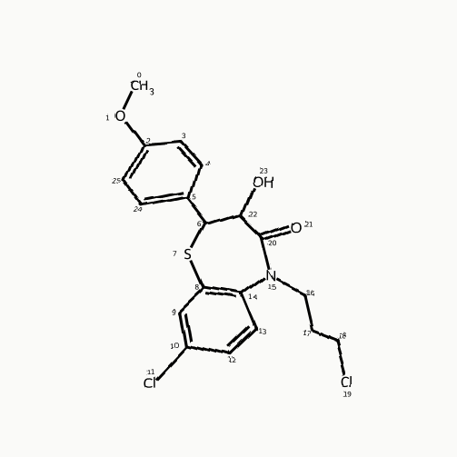 COc1ccc(C2Sc3cc(Cl)ccc3N(CCCCl)C(=O)C2O)cc1